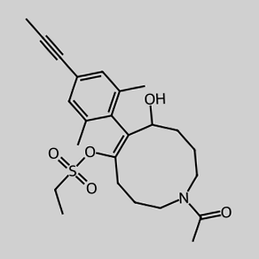 CC#Cc1cc(C)c(/C2=C(\OS(=O)(=O)CC)CCCN(C(C)=O)CCCC2O)c(C)c1